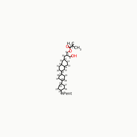 C=C(C)C(=O)OCC(CO)CC1CCC2CC(C3CCC(C4CCC(CCCCC)CC4)CC3)CCC2C1